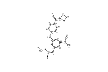 COC[C@H](C)Oc1cc(Oc2ccc(C(=O)N3CCC3)nc2)cc(C(=O)O)c1